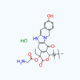 CCC1(OC(=O)CN)C(=O)OC([Si](C)(C)C(C)(C)C)C2=C1CC1=C(C2=O)N2Cc3ccc(O)cc3C=C2N1.Cl